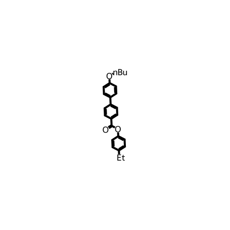 CCCCOc1ccc(-c2ccc(C(=O)Oc3ccc(CC)cc3)cc2)cc1